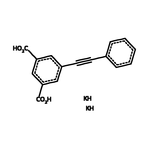 O=C(O)c1cc(C#Cc2ccccc2)cc(C(=O)O)c1.[KH].[KH]